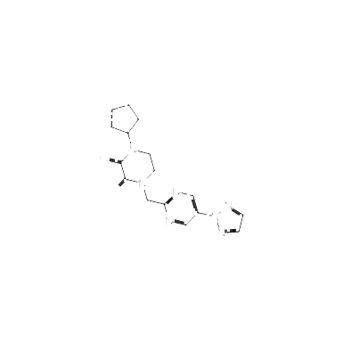 O=C1C(=O)N(C2CCCC2)CCN1Cc1ncc(-n2nccn2)cn1